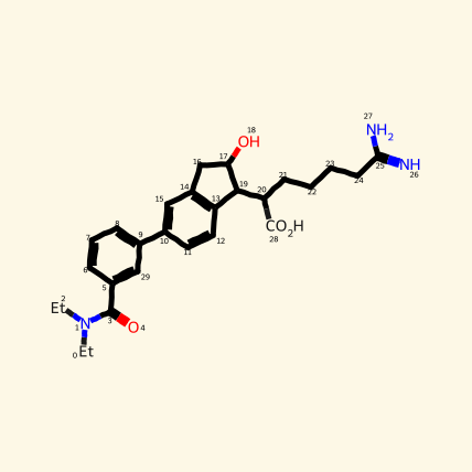 CCN(CC)C(=O)c1cccc(-c2ccc3c(c2)CC(O)C3C(CCCCC(=N)N)C(=O)O)c1